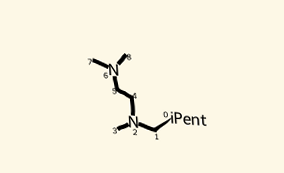 CCC[C@H](C)CN(C)CCN(C)C